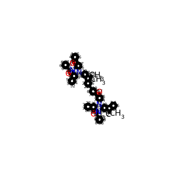 CC1(C)c2ccccc2-c2cc(N(c3ccc4oc5cc(-c6ccc7c(c6)C(C)(C)c6ccc(N(c8ccc9c(c8)oc8ccccc89)c8cc9ccccc9c9oc(-c%10ccccc%10)nc89)cc6-7)ccc5c4c3)c3cc4ccccc4c4oc(-c5ccccc5)nc34)ccc21